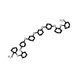 Nc1ccccc1Oc1ccccc1Oc1ccc(Oc2cccc(Oc3cccc(Oc4ccc(Oc5ccccc5Oc5ccccc5N)cc4)c3)c2)cc1